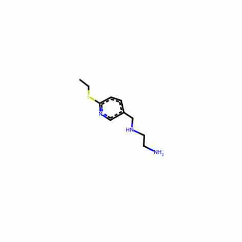 CCSc1ccc(CNCCN)cn1